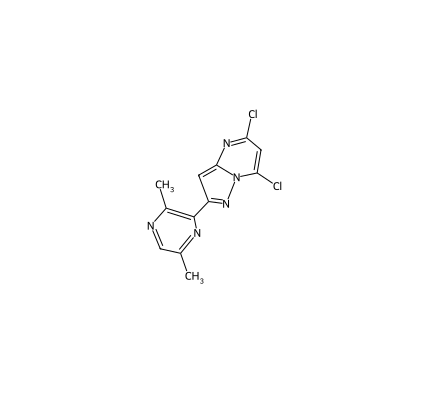 Cc1cnc(C)c(-c2cc3nc(Cl)cc(Cl)n3n2)n1